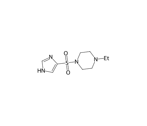 CCN1CCN(S(=O)(=O)c2c[nH]cn2)CC1